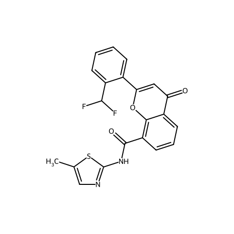 Cc1cnc(NC(=O)c2cccc3c(=O)cc(-c4ccccc4C(F)F)oc23)s1